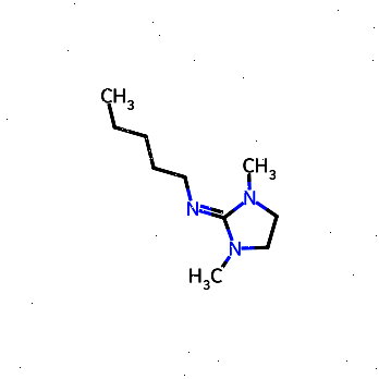 CCCCCN=C1N(C)CCN1C